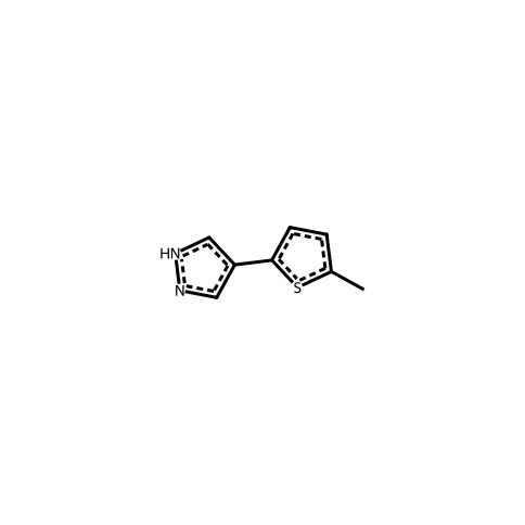 Cc1ccc(-c2cn[nH]c2)s1